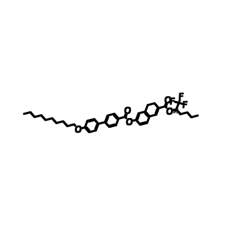 CCCCCCCCCCOc1ccc(-c2ccc(C(=O)Oc3ccc4c(c3)CCC(C(=O)O[C@H](CCCC)C(F)(F)F)=C4)cc2)cc1